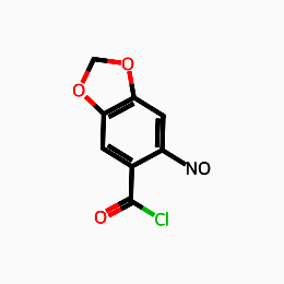 O=Nc1cc2c(cc1C(=O)Cl)OCO2